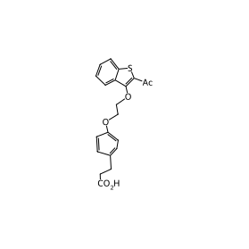 CC(=O)c1sc2ccccc2c1OCCOc1ccc(CCC(=O)O)cc1